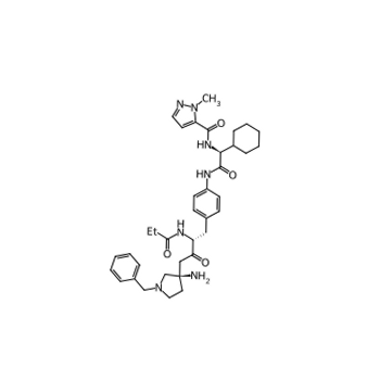 CCC(=O)N[C@H](Cc1ccc(NC(=O)[C@@H](NC(=O)c2ccnn2C)C2CCCCC2)cc1)C(=O)C[C@]1(N)CCN(Cc2ccccc2)C1